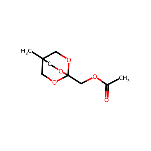 CC(=O)OCC12OCC(C)(CO1)CO2